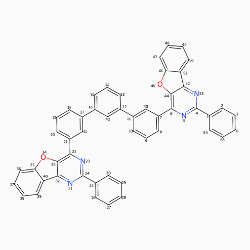 c1ccc(-c2nc(-c3cccc(-c4cccc(-c5cccc(-c6nc(-c7ccccc7)nc7c6oc6ccccc67)c5)c4)c3)c3oc4ccccc4c3n2)cc1